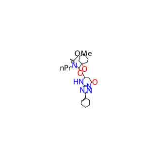 CCCN(C(=O)C1(OCC2CC(=O)n3nc(C4=CCCCC4)nc3N2)CCCCC1)[C@@H](C)COC